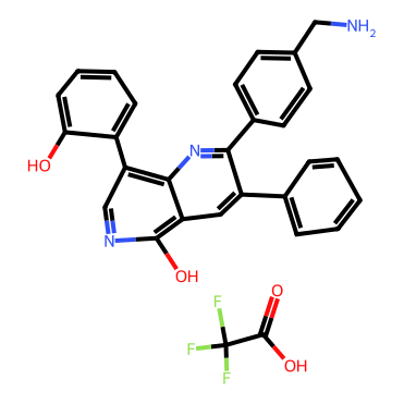 NCc1ccc(-c2nc3c(-c4ccccc4O)cnc(O)c3cc2-c2ccccc2)cc1.O=C(O)C(F)(F)F